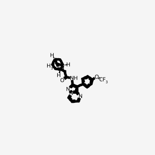 CC1(C)[C@H]2CC[C@@H](CC(=O)Nc3nn4cccnc4c3-c3ccc(OC(F)(F)F)cc3)[C@@H]1C2